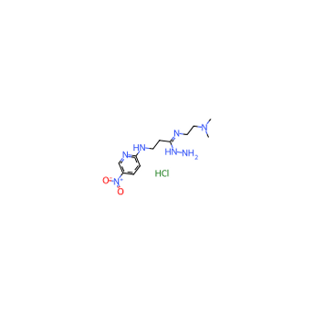 CN(C)CCN=C(CCNc1ccc([N+](=O)[O-])cn1)NN.Cl